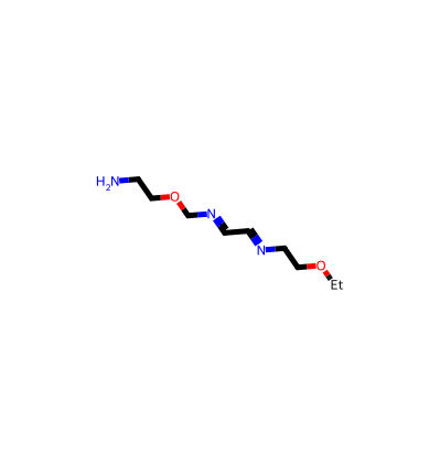 CCOCC/N=C/C=N/COCCN